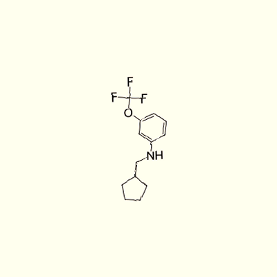 FC(F)(F)Oc1cccc(NCC2CCCC2)c1